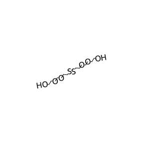 OCCOCOCCSSCCOCOCCO